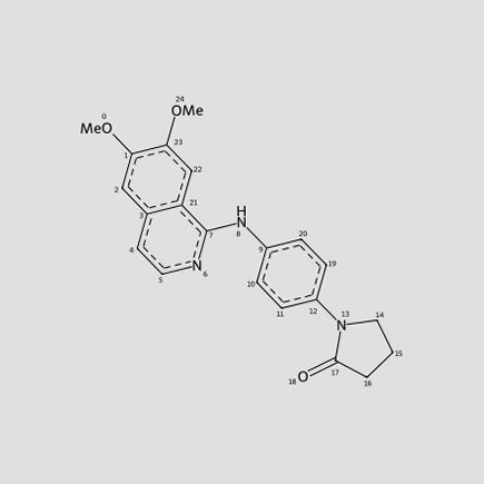 COc1cc2ccnc(Nc3ccc(N4CCCC4=O)cc3)c2cc1OC